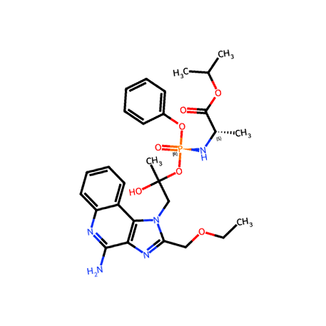 CCOCc1nc2c(N)nc3ccccc3c2n1CC(C)(O)O[P@@](=O)(N[C@@H](C)C(=O)OC(C)C)Oc1ccccc1